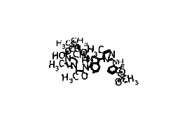 Cc1cnc(Nc2cccc(S(C)(=O)=O)c2F)nc1-c1cn(COCC[Si](C)(C)C)c2c(NC(=O)C(C)N3CC(C)N(C(=O)O)C(C)C3)cccc12